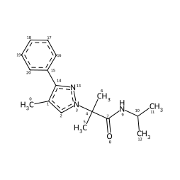 Cc1cn(C(C)(C)C(=O)NC(C)C)nc1-c1ccccc1